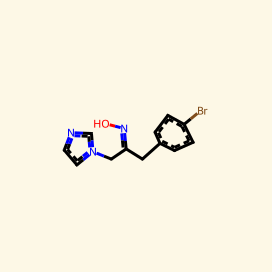 ON=C(Cc1ccc(Br)cc1)Cn1ccnc1